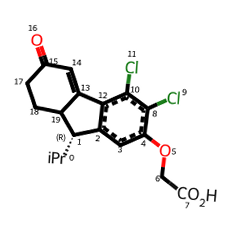 CC(C)[C@H]1c2cc(OCC(=O)O)c(Cl)c(Cl)c2C2=CC(=O)CCC21